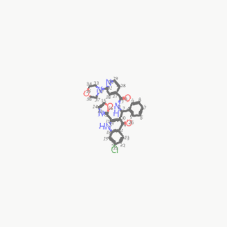 O=C(NC(c1ccccc1)c1c(-c2ncco2)[nH]c2cc(Cl)ccc2c1=O)c1ccnc(N2CCOCC2)c1